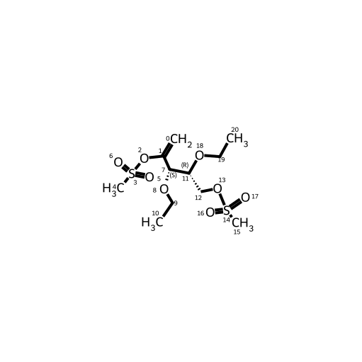 C=C(OS(C)(=O)=O)[C@@H](OCC)[C@@H](COS(C)(=O)=O)OCC